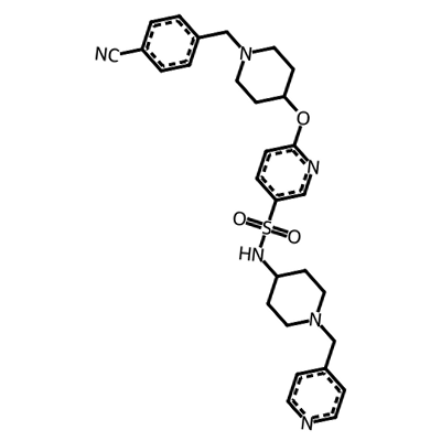 N#Cc1ccc(CN2CCC(Oc3ccc(S(=O)(=O)NC4CCN(Cc5ccncc5)CC4)cn3)CC2)cc1